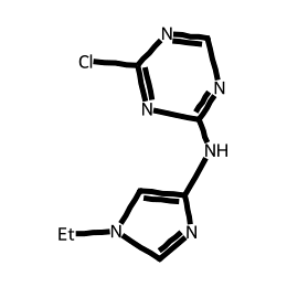 CCn1cnc(Nc2ncnc(Cl)n2)c1